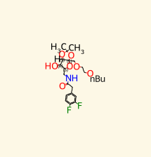 CCCCOCCOC[C@@]12O[C@@H](CNC(=O)Cc3ccc(F)c(F)c3)[C@@H](O)[C@@H]1OC(C)(C)O2